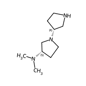 CN(C)[C@H]1CCN([C@@H]2CCNC2)C1